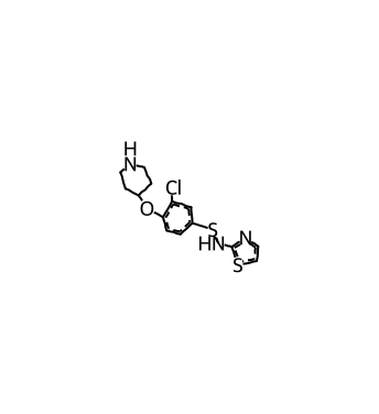 Clc1cc(SNc2nccs2)ccc1OC1CCNCC1